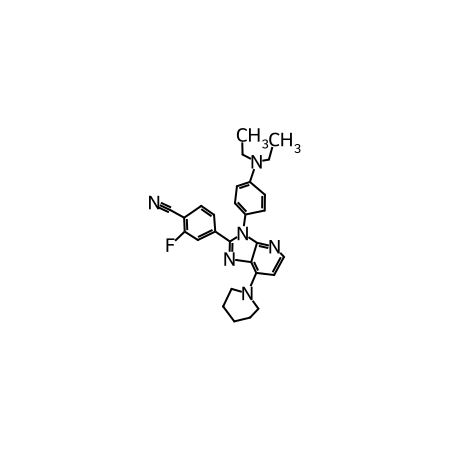 CCN(CC)c1ccc(-n2c(-c3ccc(C#N)c(F)c3)nc3c(N4CCCCC4)ccnc32)cc1